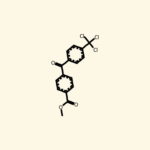 COC(=O)c1ccc(C(=O)c2ccc(C(Cl)(Cl)Cl)cc2)cc1